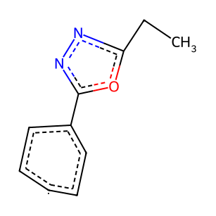 CCc1nnc(-c2cc[c]cc2)o1